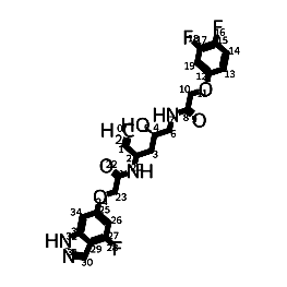 C=CC(C[C@H](O)CNC(=O)COc1ccc(F)c(F)c1)NC(=O)COc1cc(F)c2cn[nH]c2c1